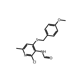 COc1ccc(CSc2cc(C)nc(Cl)c2NC=O)cc1